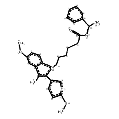 COc1ccc2c(c1)c(C)c(-c1ccc(SC)cc1)n2CCCCCC(=O)NC(C)c1ccccc1